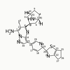 Nc1c(I)c([C@@H]2C[C@H]3CC[C@@H](C2)N3)nc2c(-c3ccc(-c4nc5c(s4)CCC5)nc3)cnn12